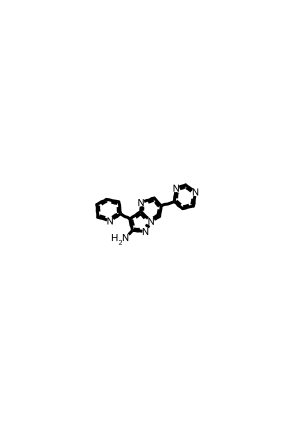 Nc1nn2cc(-c3ccncn3)cnc2c1-c1ccccn1